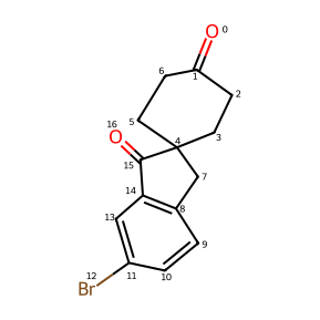 O=C1CCC2(CC1)Cc1ccc(Br)cc1C2=O